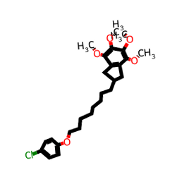 COc1c2c(c(OC)c(OC)c1OC)CC(CCCCCCCCOc1ccc(Cl)cc1)C2